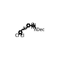 CCCCCCCCCCCc1noc(-c2cccc(C[N]CCc3ccc(Cl)c(Cl)c3)c2)n1